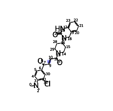 CN(C)c1ccc(C(=O)/C=C/C(=O)N2CCC(N3Cc4ccccc4NC3=O)CC2)cc1Cl